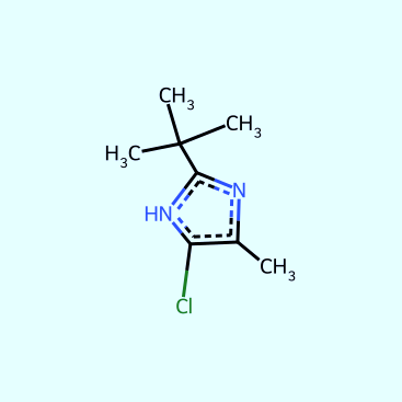 Cc1nc(C(C)(C)C)[nH]c1Cl